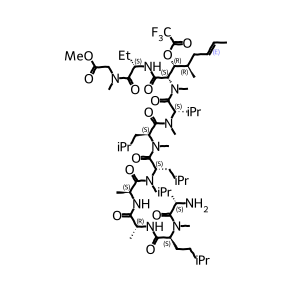 C/C=C/C[C@@H](C)[C@@H](OC(=O)C(F)(F)F)[C@@H](C(=O)N[C@@H](CC)C(=O)N(C)CC(=O)OC)N(C)C(=O)[C@H](C(C)C)N(C)C(=O)[C@H](CC(C)C)N(C)C(=O)[C@H](CC(C)C)N(C)C(=O)[C@H](C)NC(=O)[C@@H](C)NC(=O)[C@H](CCC(C)C)N(C)C(=O)[C@@H](N)C(C)C